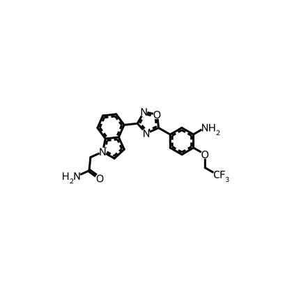 NC(=O)Cn1ccc2c(-c3noc(-c4ccc(OCC(F)(F)F)c(N)c4)n3)cccc21